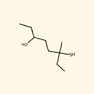 CCC(O)CCC(C)(S)CC